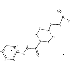 CC(O)CCN1CCN(C(=O)OCc2ccccc2)CC1